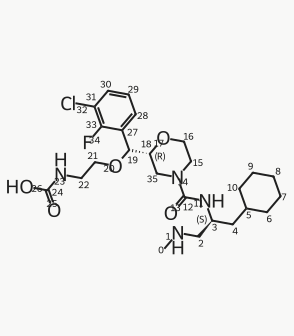 CNC[C@H](CC1CCCCC1)NC(=O)N1CCO[C@@H](C(OCCNC(=O)O)c2cccc(Cl)c2F)C1